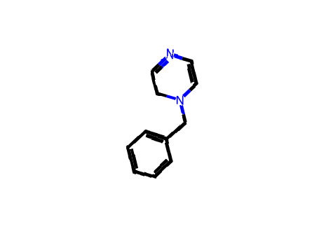 C1=CN(Cc2ccccc2)CC=N1